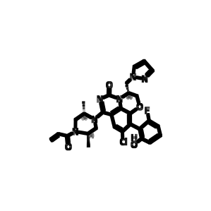 C=CC(=O)N1C[C@H](C)N(c2nc(=O)n3c4c(c(-c5c(O)cccc5F)c(Cl)cc24)OC[C@H]3Cn2cccn2)C[C@H]1C